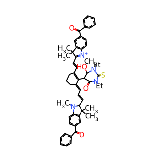 CCN1C(=O)C(C2=C(/C=C/C3=[N+](C)c4ccc(C(=O)c5ccccc5)cc4C3(C)C)CCC/C2=C\C=C\C2N(C)c3ccc(C(=O)c4ccccc4)cc3C2(C)C)C(O)N(CC)C1=S